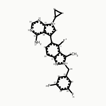 Cc1c2c(F)c(-c3cn(C4CC4)c4ncnc(N)c34)ccc2nn1Cc1cc(F)cc(F)c1